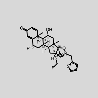 C[C@]12C=CC(=O)C=C1[C@@H](F)C[C@H]1[C@@H]3C[C@H]4CN(Cc5cccs5)O[C@@]4(C(=O)SCF)[C@@]3(C)C[C@H](O)[C@@]12F